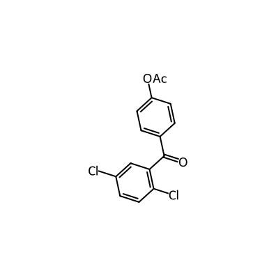 CC(=O)Oc1ccc(C(=O)c2cc(Cl)ccc2Cl)cc1